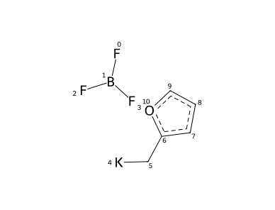 FB(F)F.[K][CH2]c1ccco1